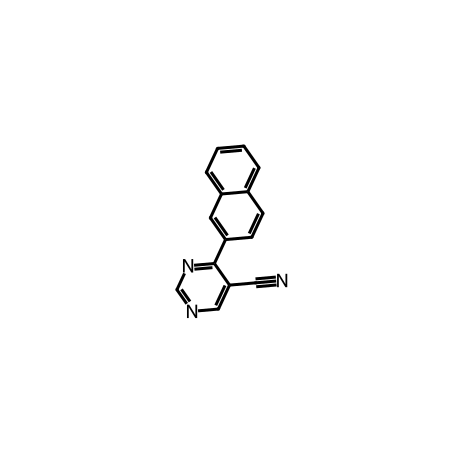 N#Cc1cncnc1-c1ccc2ccccc2c1